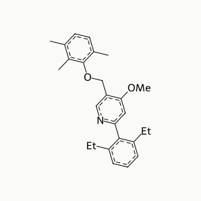 CCc1cccc(CC)c1-c1cc(OC)c(COc2c(C)ccc(C)c2C)cn1